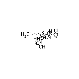 CCCCCCC(Sc1ncnc2c1cnn2-c1ccccc1Cl)C(=O)Nc1nc(C)cs1